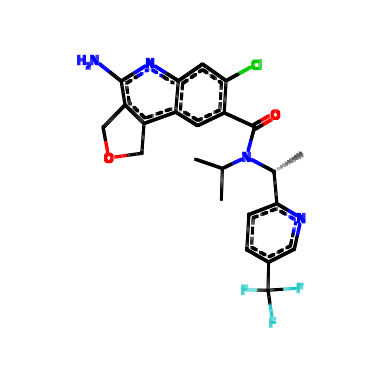 CC(C)N(C(=O)c1cc2c3c(c(N)nc2cc1Cl)COC3)[C@H](C)c1ccc(C(F)(F)F)cn1